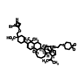 C=C[C@@]12CC[C@@]3(NCCN4CCS(=O)(=O)CC4)CC[C@@H](C(=C)C)C3[C@@H]1CCCCC1[C@@]3(C)CC=C(C4=CCC(COc5c[nH]n5CC)(C(=O)O)CC4)C(C)(C)C3CC[C@]12C